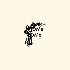 COc1cc(-c2nccc(-c3cccc(-c4ccc(CNC[C@H]5CCC(=O)N5)c(OC)n4)c3Cl)c2Cl)cc(F)c1CNC1CC(C)(O)C1